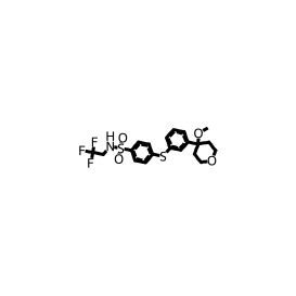 COC1(c2cccc(Sc3ccc(S(=O)(=O)NCC(F)(F)F)cc3)c2)CCOCC1